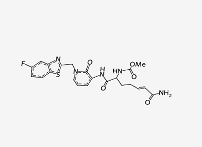 COC(=O)NC(CCC=CC(N)=O)C(=O)Nc1cccn(Cc2nc3cc(F)ccc3s2)c1=O